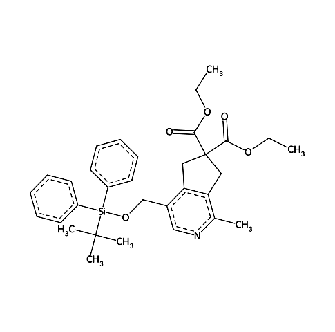 CCOC(=O)C1(C(=O)OCC)Cc2c(CO[Si](c3ccccc3)(c3ccccc3)C(C)(C)C)cnc(C)c2C1